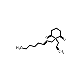 C=CCC1(CC=CCCCCC)C(=O)CCCC1=O